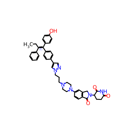 CC/C(=C(\c1ccc(O)cc1)c1ccc(-c2cnn(CCCN3CCN(c4ccc5c(c4)CN(C4CCC(=O)NC4=O)C5=O)CC3)c2)cc1)c1ccccc1